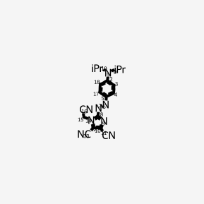 CC(C)N(c1ccc(N=Nc2nc(C#N)c(C#N)n2CC#N)cc1)C(C)C